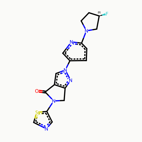 O=C1c2cn(-c3ccc(N4CC[C@@H](F)C4)nc3)nc2CN1c1cncs1